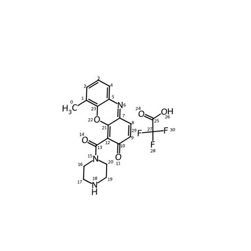 Cc1cccc2nc3ccc(=O)c(C(=O)N4CCNCC4)c-3oc12.O=C(O)C(F)(F)F